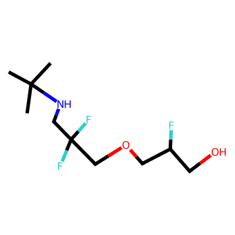 CC(C)(C)NCC(F)(F)COCC(F)CO